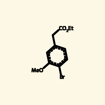 CCOC(=O)Cc1ccc(Br)c(OC)c1